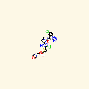 C=C1CCC(c2nc(Cl)c(-c3ccc(C(=O)OCCN4CCOCC4)s3)[nH]2)N1C(=O)/C=C(\C)c1cc(Cl)ccc1-n1cnnn1